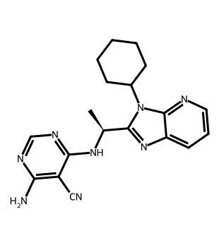 C[C@H](Nc1ncnc(N)c1C#N)c1nc2cccnc2n1C1CCCCC1